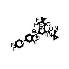 N#CC1(NC(=O)[C@@H]2C[C@@H](S(=O)(=O)c3ccc(N4CCC(F)(F)CC4)cc3Cl)CN2C(=O)C2(C(F)(F)F)CC2)CC1